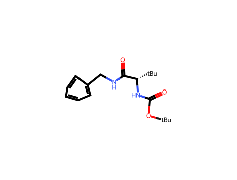 CC(C)(C)OC(=O)N[C@H](C(=O)NCc1ccccc1)C(C)(C)C